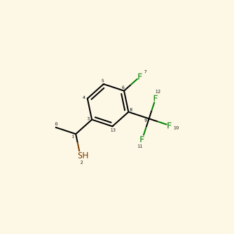 CC(S)c1ccc(F)c(C(F)(F)F)c1